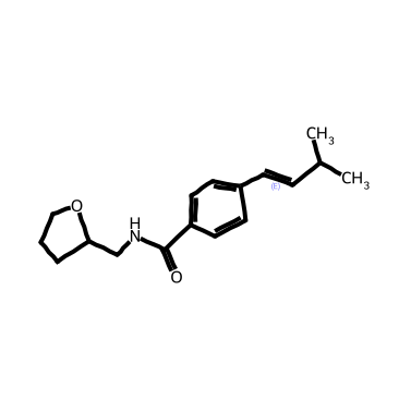 CC(C)/C=C/c1ccc(C(=O)NCC2CCCO2)cc1